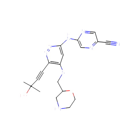 CC(C)(O)C#Cc1nnc(Nc2cnc(C#N)cn2)cc1NCC1CNCCO1